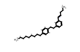 CCC/C=C/c1cccc(CCc2ccc(CCCCCCCCC)cc2)c1